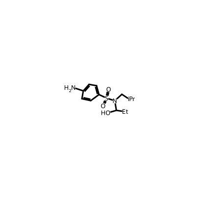 CCC(O)N(CC(C)C)S(=O)(=O)c1ccc(N)cc1